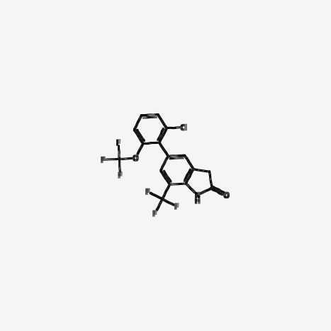 O=C1Cc2cc(-c3c(Cl)cccc3OC(F)(F)F)cc(C(F)(F)F)c2N1